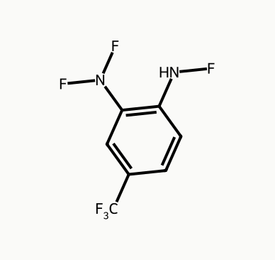 FNc1ccc(C(F)(F)F)cc1N(F)F